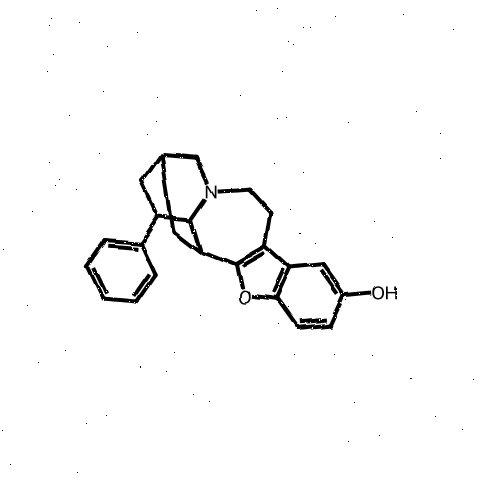 Oc1ccc2oc3c(c2c1)CCN1CC2CC(c4ccccc4)C1C3C2